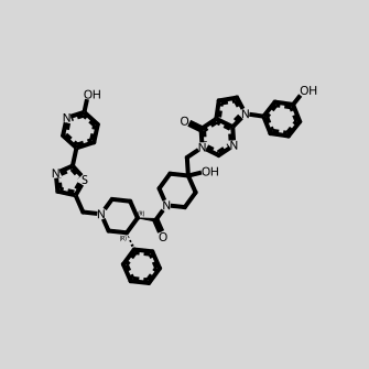 O=C([C@@H]1CCN(Cc2cnc(-c3ccc(O)nc3)s2)C[C@H]1c1ccccc1)N1CCC(O)(Cn2cnc3c(ccn3-c3cccc(O)c3)c2=O)CC1